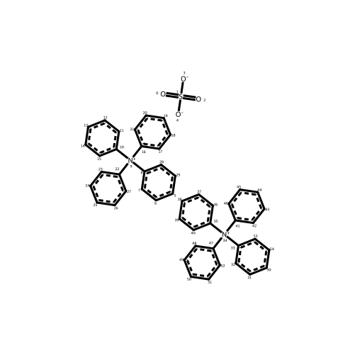 O=S(=O)([O-])[O-].c1ccc([N+](c2ccccc2)(c2ccccc2)c2ccccc2)cc1.c1ccc([N+](c2ccccc2)(c2ccccc2)c2ccccc2)cc1